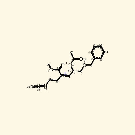 COC(=O)/C(=C\[C@H](COCc1ccccc1)OC(C)=O)CCN=[N+]=[N-]